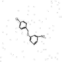 O=[N+]([O-])c1cccc(OCc2ccc(Cl)cc2)c1